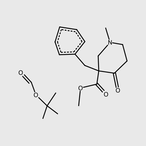 CC(C)(C)OC=O.COC(=O)C1(Cc2ccccc2)CN(C)CCC1=O